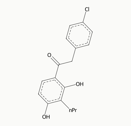 CCCc1c(O)ccc(C(=O)Cc2ccc(Cl)cc2)c1O